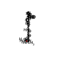 CC(CO)OC(COC(=O)CCCC(=O)NCCCCOC(=O)Oc1cccc(-c2nc(N3CCOCC3)c3oc4ncccc4c3n2)c1)OC(C)(C)C